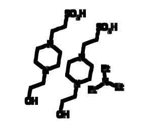 CCN(CC)CC.O=S(=O)(O)CCN1CCN(CCO)CC1.O=S(=O)(O)CCN1CCN(CCO)CC1